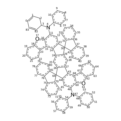 C1=CCC(N(c2ccccc2)c2cc3c(c4c2oc2ccccc24)-c2cc4c(cc2C32c3ccccc3-c3ccccc32)-c2c(cc(N(c3ccccc3)c3ccccc3)c3oc5ccccc5c23)C42c3ccccc3-c3ccccc32)C=C1